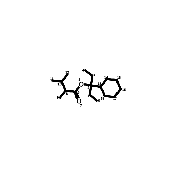 CCC(CC)(OC(=O)C(C)C(C)C)C1CCCCC1